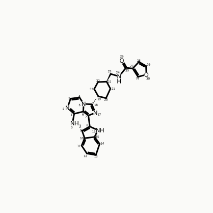 Nc1nccn2c1c(-c1cc3ccccc3[nH]1)nc2[C@H]1CC[C@H](CNC(=O)c2ccoc2)CC1